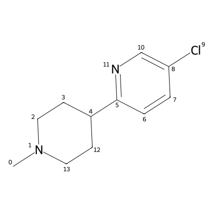 CN1CCC(c2ccc(Cl)cn2)CC1